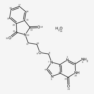 Nc1nc2c(ncn2COCCN2C(=O)c3ccccc3C2=O)c(=O)[nH]1.O